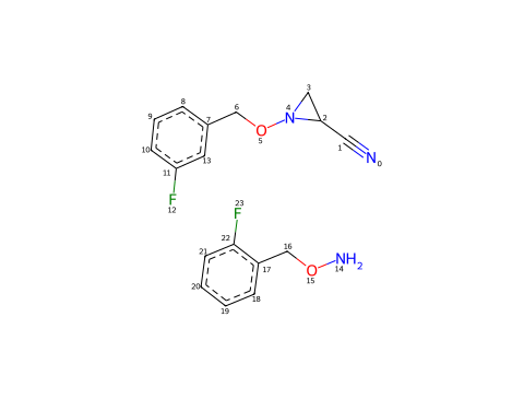 N#CC1CN1OCc1cccc(F)c1.NOCc1ccccc1F